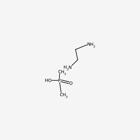 CP(C)(=O)O.NCCN